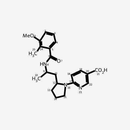 COc1cccc(C(=O)NC(C)CC2CCCN2c2ccc(C(=O)O)cn2)c1C